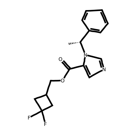 C[C@H](c1ccccc1)n1cncc1C(=O)OCC1CC(F)(F)C1